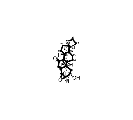 C[C@]12C[C@H](O)[C@H]3O[C@H]3C1=CC(=O)[C@@H]1[C@@H]2CC[C@@]2(C)[C@H]1CCC21OCCO1